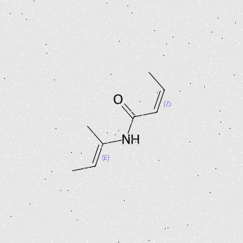 C/C=C\C(=O)N/C(C)=C/C